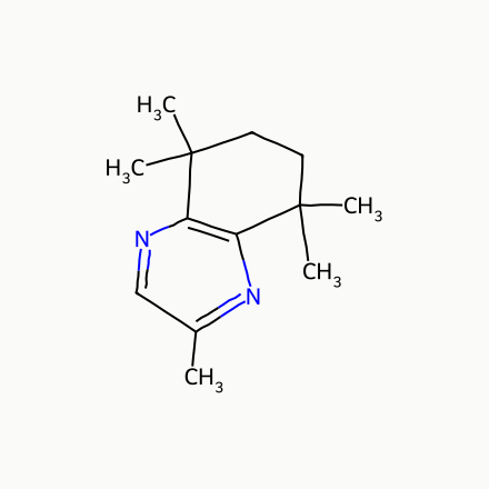 Cc1cnc2c(n1)C(C)(C)CCC2(C)C